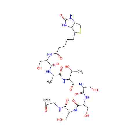 CNC(=O)CNC(=O)C(CO)NC(=O)C(CO)NC(=O)C(CO)NC(=O)C(NC(=O)C(C)NC(=O)C(CO)NC(=O)CCCCC1SCC2NC(=O)NC21)C(C)O